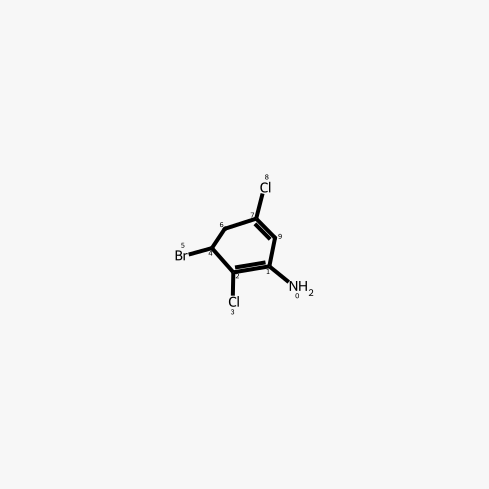 NC1=C(Cl)C(Br)CC(Cl)=C1